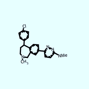 CNc1ccc(-c2ccc3c(c2)CN(C)CCC3c2ccc(Cl)cc2)nn1